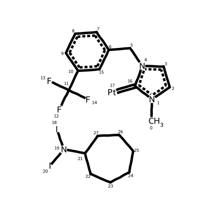 Cn1ccn(Cc2cccc(C(F)(F)F)c2)[c]1=[Pt].IN(I)C1CCCCCC1